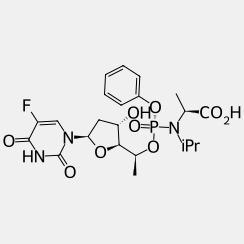 CC(C)N([C@@H](C)C(=O)O)[P@@](=O)(Oc1ccccc1)O[C@@H](C)[C@H]1O[C@@H](n2cc(F)c(=O)[nH]c2=O)C[C@@H]1O